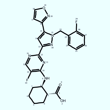 O=C(O)[C@@H]1CCCC[C@H]1Nc1nc(-c2cc(-c3ccon3)n(Cc3ccccc3F)n2)ncc1F